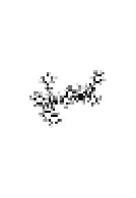 C[C@H](NP(=O)(Oc1ccccc1F)Oc1cccc2c(C[C@H](NP(=O)(Oc3ccc(F)cc3F)Oc3cccc4ccccc34)C(=O)OCc3ccccc3)cccc12)C(=O)OCc1ccccc1